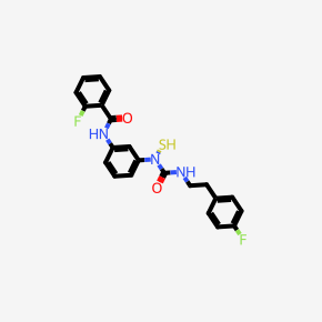 O=C(Nc1cccc(N(S)C(=O)NCCc2ccc(F)cc2)c1)c1ccccc1F